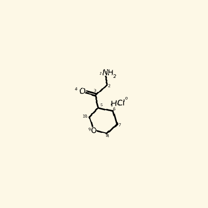 Cl.NCC(=O)C1CCCOC1